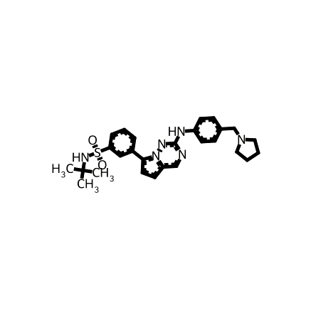 CC(C)(C)NS(=O)(=O)c1cccc(-c2ccc3cnc(Nc4ccc(CN5CCCC5)cc4)nn23)c1